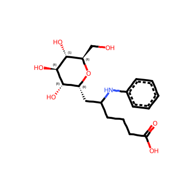 O=C(O)CCCC(C[C@H]1O[C@H](CO)[C@@H](O)[C@H](O)[C@H]1O)Nc1ccccc1